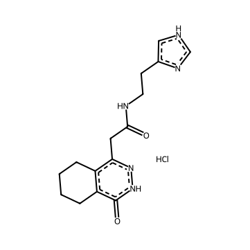 Cl.O=C(Cc1n[nH]c(=O)c2c1CCCC2)NCCc1c[nH]cn1